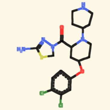 NC1=NN(C(=O)C2CC(Oc3ccc(Cl)c(Cl)c3)CCN2C2CCNCC2)CS1